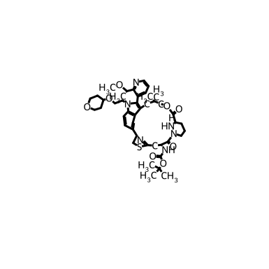 CO[C@@H](C)c1ncccc1-c1c2c3cc(ccc3n1CCOC1CCOCC1)C1CSC(=N1)C[C@H](NC(=O)OC(C)(C)C)C(=O)N1CCC[C@H](N1)C(=O)OCC(C)(C)C2